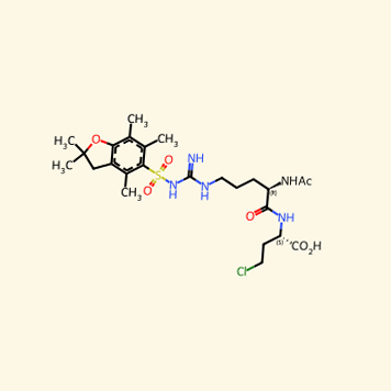 CC(=O)N[C@H](CCCNC(=N)NS(=O)(=O)c1c(C)c(C)c2c(c1C)CC(C)(C)O2)C(=O)N[C@@H](CCCl)C(=O)O